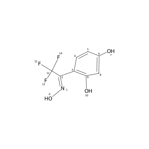 ON=C(c1ccc(O)cc1O)C(F)(F)F